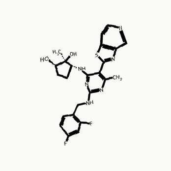 Cc1nc(NCc2ccc(F)cc2F)nc(N[C@@H]2CC[C@@H](O)[C@@]2(C)O)c1-c1nc2cnccc2s1